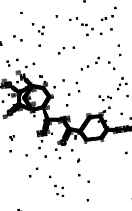 CC(=O)NC1CCC(C(=O)NC(=N)[C@@H]2CC[C@@H]3CN2C(=O)N3O)CC1